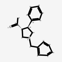 CC(=O)[C@H]1CN(Cc2ccccc2)C[C@@H]1c1ccccc1